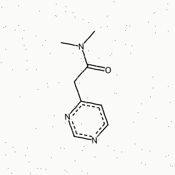 CN(C)C(=O)Cc1ccncn1